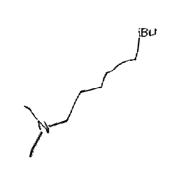 CCC(C)CCCCCN(C)C